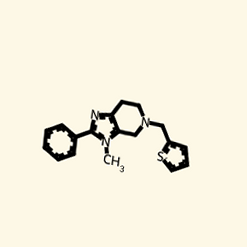 Cn1c(-c2ccccc2)nc2c1CN(Cc1cccs1)CC2